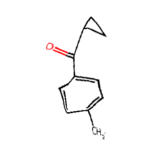 [CH2]c1ccc(C(=O)C2CC2)cc1